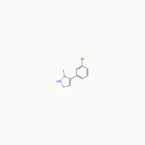 CN1NCC=C1c1cccc(Br)c1